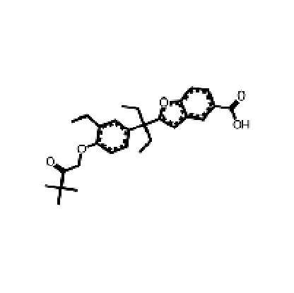 CCc1cc(C(CC)(CC)c2cc3cc(C(=O)O)ccc3o2)ccc1OCC(=O)C(C)(C)C